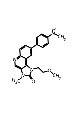 CNc1ccc(-c2ccc3ncc4c(c3c2)n(CCOC)c(=O)n4C)cc1